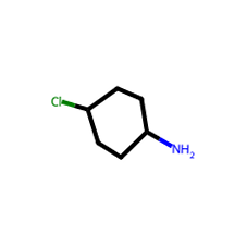 NC1CCC(Cl)CC1